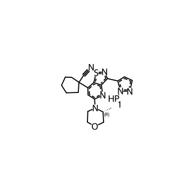 C[C@@H]1COCCN1c1cc(C2(C#N)CCCCC2)c2snc(-c3ccnn3PI)c2n1